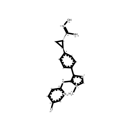 Cn1cnc(-c2ccc([C@H]3C[C@@H]3/C(N)=N/O)cc2)c1Sc1ccc(Cl)cn1